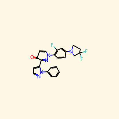 O=c1ccn(-c2ccc(N3CCC(F)(F)C3)cc2F)nc1-c1ccnn1-c1ccccc1